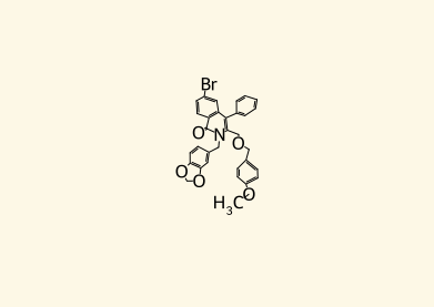 COc1ccc(COCc2c(-c3ccccc3)c3cc(Br)ccc3c(=O)n2Cc2ccc3c(c2)OCO3)cc1